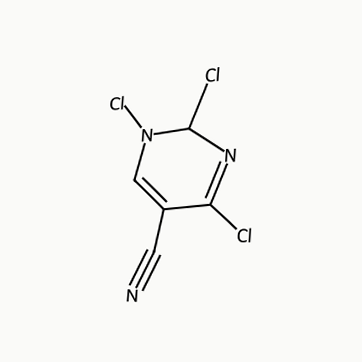 N#CC1=CN(Cl)C(Cl)N=C1Cl